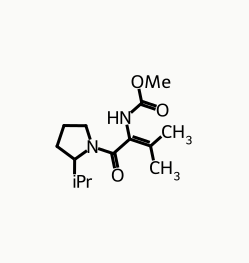 COC(=O)NC(C(=O)N1CCCC1C(C)C)=C(C)C